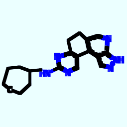 c1nc2[nH]ncc2c2c1CCc1nc(NCC3CCCCCC3)ncc1-2